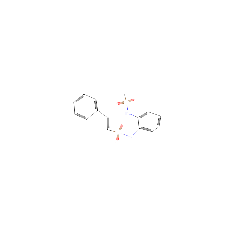 O=S(=O)(C=Cc1ccccc1)Nc1ccccc1NS(=O)(=O)C(F)(F)F